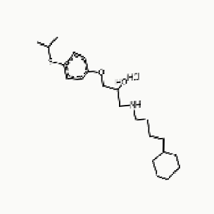 CC(C)Sc1ccc(OCC(O)CNCCCCC2CCCCC2)cc1.Cl